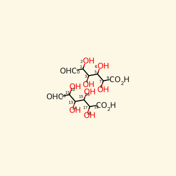 O=CC(O)C(O)C(O)C(O)C(=O)O.O=CC(O)C(O)C(O)C(O)C(=O)O